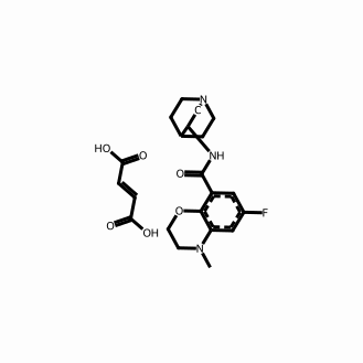 CN1CCOc2c(C(=O)NC3CN4CCC3CC4)cc(F)cc21.O=C(O)C=CC(=O)O